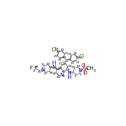 CS(=O)(=O)N1CCC(Nc2cc(C(c3ccc(Cl)cc3)c3ccc(Cl)cc3)cc3c(NC4CCN(CC(F)(F)F)CC4)ccnc23)CC1